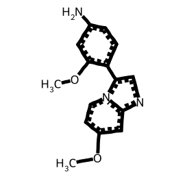 COc1ccn2c(-c3ccc(N)cc3OC)cnc2c1